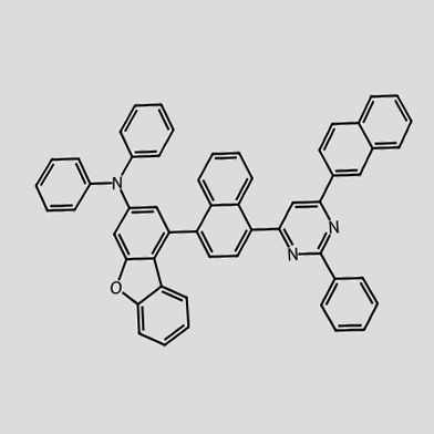 c1ccc(-c2nc(-c3ccc4ccccc4c3)cc(-c3ccc(-c4cc(N(c5ccccc5)c5ccccc5)cc5oc6ccccc6c45)c4ccccc34)n2)cc1